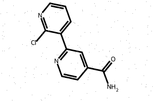 NC(=O)c1ccnc(-c2cccnc2Cl)c1